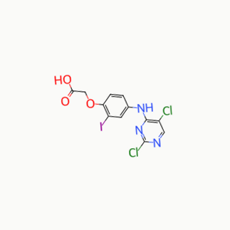 O=C(O)COc1ccc(Nc2nc(Cl)ncc2Cl)cc1I